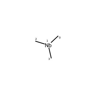 [CH3][Nb]([CH3])[CH3]